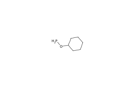 POC1CCCCC1